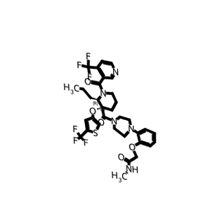 CCC[C@H]1N(C(=O)c2cnccc2C(F)(F)F)CCC[C@@]1(Oc1csc(C(F)(F)F)c1)C(=O)N1CCN(c2ccccc2OCC(=O)NC)CC1